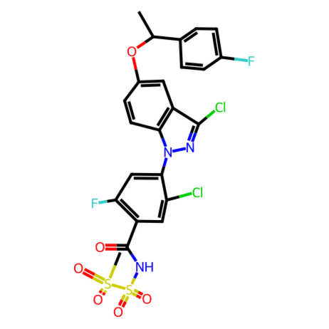 CC(Oc1ccc2c(c1)c(Cl)nn2-c1cc(F)c(C(=O)NS(=O)(=O)S(C)(=O)=O)cc1Cl)c1ccc(F)cc1